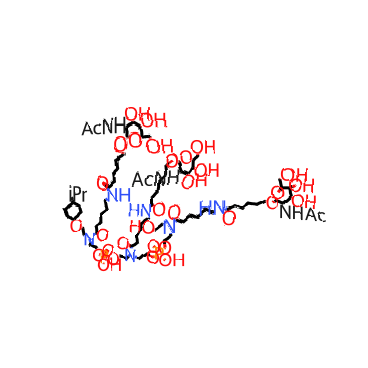 CC(=O)NC1C(OCCCCCC(=O)NCCCCCC(=O)N(CCO)CCOP(=O)(O)OCCN(CCOP(=O)(O)OCCN(CCOC2CCC(C(C)C)CC2)C(=O)CCCCCNC(=O)CCCCCOC2OC(CO)C(O)C(O)C2NC(C)=O)C(=O)CCCCCNC(=O)CCCCCOC2OC(CO)C(O)C(O)C2NC(C)=O)OC(CO)C(O)C1O